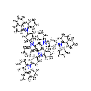 c1ccc(N(c2ccc(-n3c4ccccc4c4c3c3c5ccccc5n(-c5ccc(N(c6ccccc6)c6cccc7ccccc67)cc5)c3c3c5ccccc5n(-c5ccc(N(c6ccccc6)c6cccc7ccccc67)cc5)c43)cc2)c2cccc3ccccc23)cc1